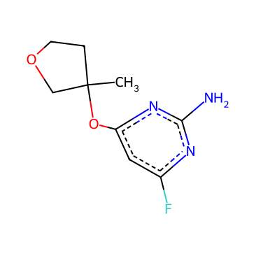 CC1(Oc2cc(F)nc(N)n2)CCOC1